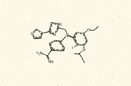 CCOc1cc(OC(C)C)c(F)c(N(Cc2nc(-c3ccoc3)c[nH]2)c2ccc(C(=N)N)cc2)c1